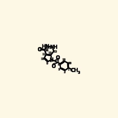 Cc1ccc(S(=O)(=O)n2ccc3c2CNNC3=O)cc1